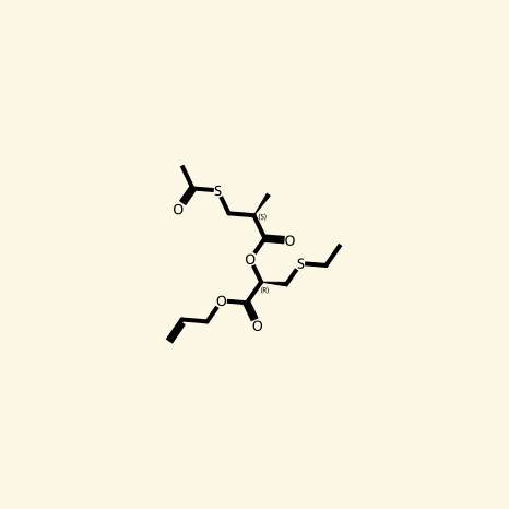 C=CCOC(=O)[C@H](CSCC)OC(=O)[C@H](C)CSC(C)=O